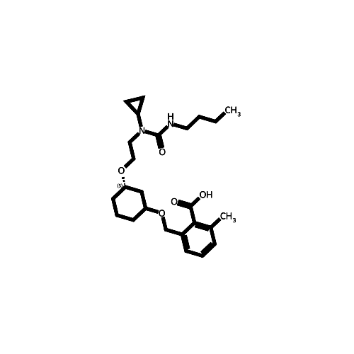 CCCCNC(=O)N(CCO[C@H]1CCCC(OCc2cccc(C)c2C(=O)O)C1)C1CC1